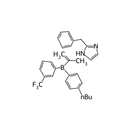 C=C(C)B(c1ccc(CCCC)cc1)c1cccc(C(F)(F)F)c1.c1ccc(Cc2ncc[nH]2)cc1